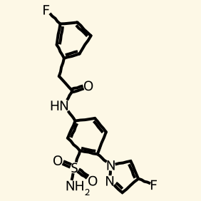 NS(=O)(=O)c1cc(NC(=O)Cc2cccc(F)c2)ccc1-n1cc(F)cn1